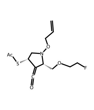 C=CCON1C[C@@H](SC(C)=O)C(=C=O)[C@H]1COCCF